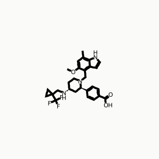 COc1cc(C)c2[nH]ccc2c1CN1CC[C@@H](NCC2(C(F)(F)F)CC2)C[C@@H]1c1ccc(C(=O)O)cc1